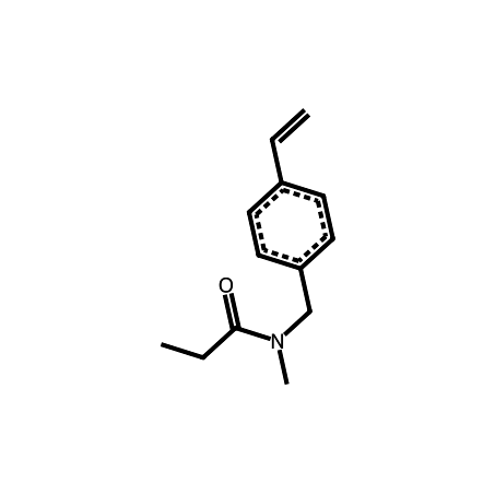 C=Cc1ccc(CN(C)C(=O)CC)cc1